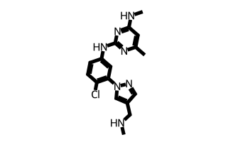 CNCc1cnn(-c2cc(Nc3nc(C)cc(NC)n3)ccc2Cl)c1